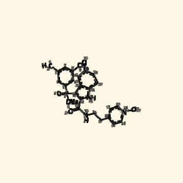 COP(=O)(c1cc(C)cc(C)c1)c1c(C(=O)NCCc2cc[n+]([O-])cc2)[nH]c2ccc(Cl)cc12